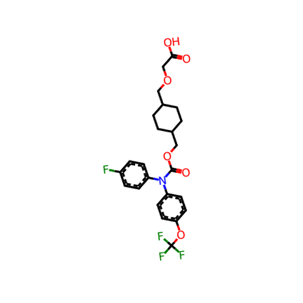 O=C(O)COCC1CCC(COC(=O)N(c2ccc(F)cc2)c2ccc(OC(F)(F)F)cc2)CC1